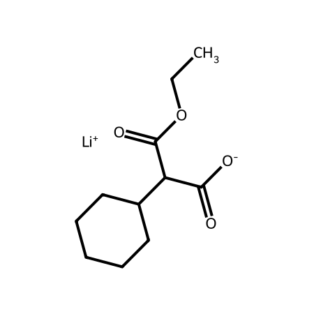 CCOC(=O)C(C(=O)[O-])C1CCCCC1.[Li+]